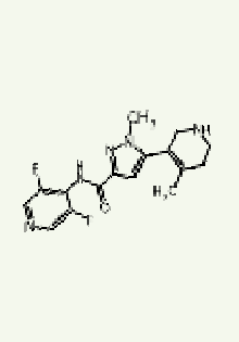 CC1=C(c2cc(C(=O)Nc3c(F)cncc3F)nn2C)CNCC1